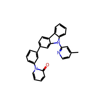 Cc1ccnc(-n2c3ccccc3c3ccc(-c4cccc(-n5ccccc5=O)c4)cc32)c1